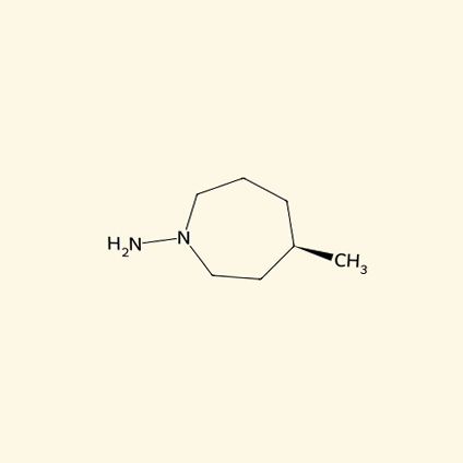 C[C@@H]1CCCN(N)CC1